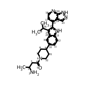 CC(N)CC(=O)N1CCC(c2ccc3[nH]c(-c4ccnc5[nH]ncc45)c(C(C)C)c3c2)CC1